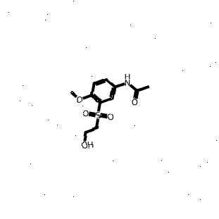 COc1ccc(NC(C)=O)cc1S(=O)(=O)CCO